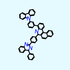 c1ccc(-c2nc(-c3ccc(-c4nc5c(-c6cccc(-n7c8ccccc8c8ccccc87)c6)cccc5c5c4ccc4ccccc45)cc3)nc3ccccc23)cc1